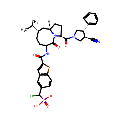 CC(C)[C@H]1CC[C@H](NC(=O)c2cc3cc(C(F)P(=O)(O)O)ccc3s2)C(=O)N2[C@H](CC[C@H]2C(=O)N2C[C@H](c3ccccc3)[C@@H](C#N)C2)C1